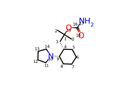 CC(C)(C[C@@H]1CCCC[C@@H]1N1CCCC1)OC(N)=O